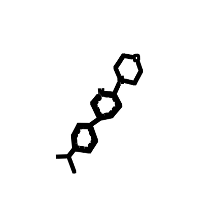 CC(C)c1ccc(-c2ccc(N3CCOCC3)nc2)cc1